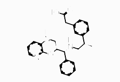 C[C@@H](CN[C@H](c1ccccc1)[C@@H]1CNc2cccnc2O1)c1cccc(CC(=O)O)c1